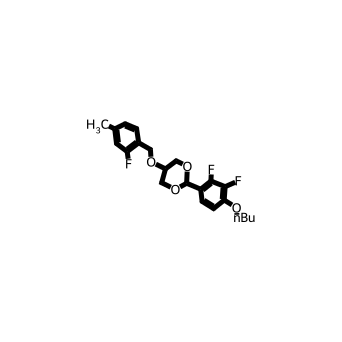 CCCCOc1ccc(C2OCC(OCc3ccc(C)cc3F)CO2)c(F)c1F